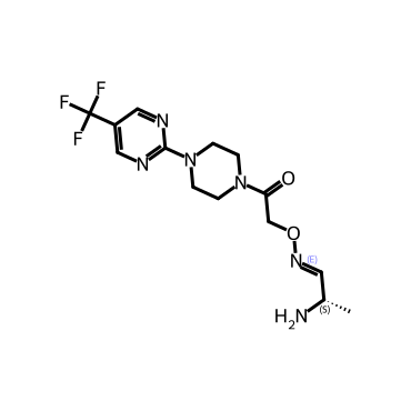 C[C@H](N)/C=N/OCC(=O)N1CCN(c2ncc(C(F)(F)F)cn2)CC1